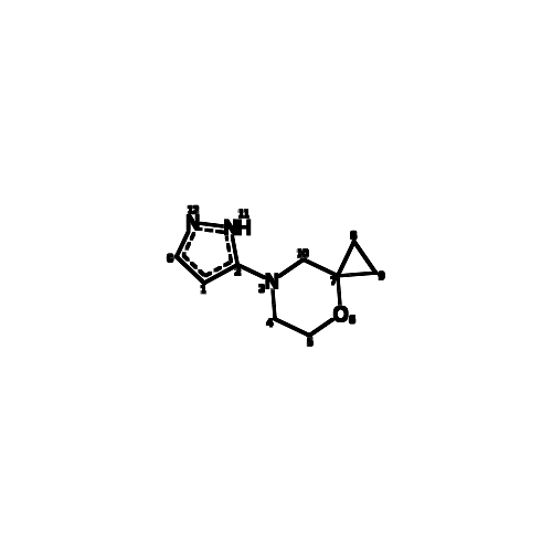 c1cc(N2CCOC3(CC3)C2)[nH]n1